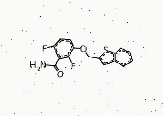 NC(=O)c1c(F)ccc(OCc2cc3ccccc3s2)c1F